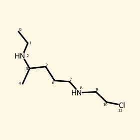 CCNC(C)CCCNCCCl